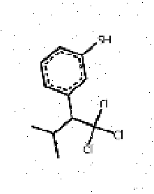 CC(C)C(c1cccc(S)c1)C(Cl)(Cl)Cl